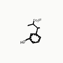 CCOC(=O)C(C)C(C)c1cccc(O)c1